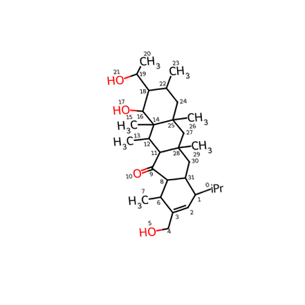 CC(C)C1C=C(CO)C(C)C2C(=O)C3C(C)C4(C)C(O)C(C(C)O)C(C)CC4(C)CC3(C)CC12